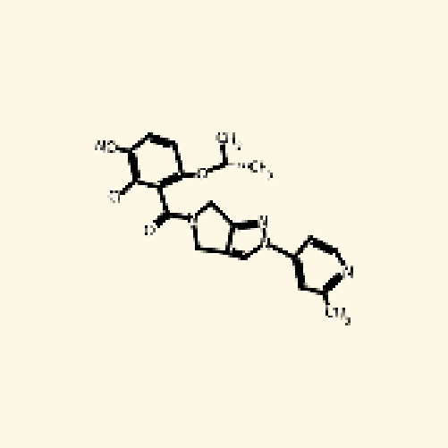 Cc1cc(-n2cc3c(n2)CN(C(=O)c2c(O[C@H](C)C(F)(F)F)ccc(C#N)c2Cl)C3)ccn1